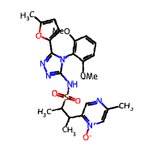 COc1cccc(OC)c1-n1c(NS(=O)(=O)C(C)C(C)c2cnc(C)c[n+]2[O-])nnc1-c1ccc(C)o1